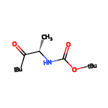 CCC(C)C(=O)[C@H](C)NC(=O)OC(C)(C)C